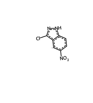 O=[N+]([O-])c1[c]c2c(Cl)n[nH]c2cc1